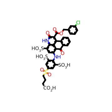 O=C(O)CCCS(=O)(=O)c1cc(S(=O)(=O)O)c(Nc2cc(S(=O)(=O)O)c3[nH]c(=O)c(C(=O)OCc4cccc(Cl)c4)c4c3c2C(=O)c2ccccc2-4)c(S(=O)(=O)O)c1